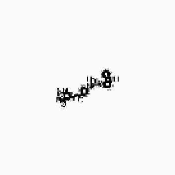 COc1ccc(C=CC(=O)c2ccc(NCC(O)COc3cccc4[nH]c5ccccc5c34)cc2)cc1[N+](=O)[O-]